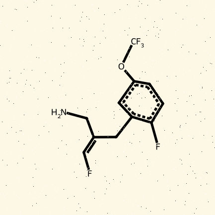 NC/C(=C/F)Cc1cc(OC(F)(F)F)ccc1F